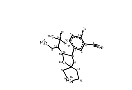 N#Cc1cc(C2CC3(CCNCC3)O[C@H]2C(CO)C(F)(F)F)ccc1F